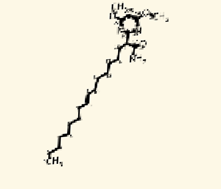 CCCCCCCCC=CCCCCCCC(C(N)=O)c1nc(OC)cc(OC)n1